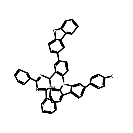 Cc1ccc(-c2ccc3c4ccccc4n(-c4ccc(-c5ccc6oc7ccccc7c6c5)cc4C4N=C(c5ccccc5)N=C(c5ccccc5)N4)c3c2)cc1